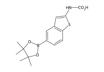 CC1(C)OB(c2ccc3sc(NC(=O)O)cc3c2)OC1(C)C